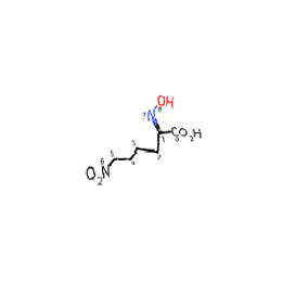 O=C(O)/C(CCCC[N+](=O)[O-])=N\O